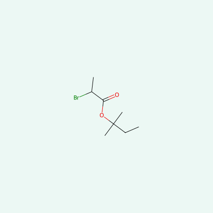 CCC(C)(C)OC(=O)C(C)Br